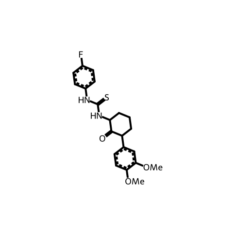 COc1ccc(C2CCCC(NC(=S)Nc3ccc(F)cc3)C2=O)cc1OC